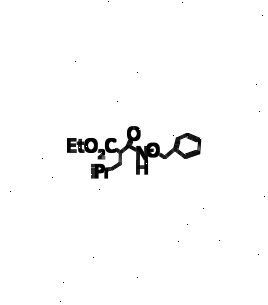 CCOC(=O)C(CC(C)C)C(=O)NOCc1ccccc1